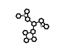 c1ccc(-n2c3ccccc3c3cc(-c4cc(-c5ccc6c(c5)-c5ccccc5-c5ccccc5-c5ccccc5-6)cc(-c5cccc6c5sc5ccccc56)c4)ccc32)cc1